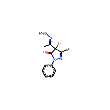 CO/N=C(\C)C1(Br)C(=O)N(c2ccccc2)N=C1C(C)C